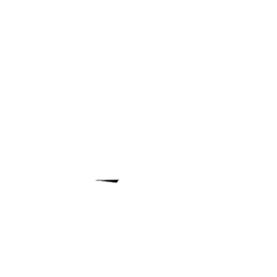 C1CCC(C[C@H]2CO2)CC1